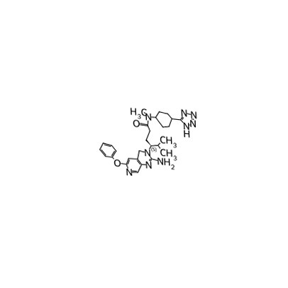 CC(C)[C@H](CCC(=O)N(C)C1CCC(c2nnn[nH]2)CC1)N1Cc2cc(Oc3ccccc3)ncc2N=C1N